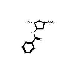 CN[C@@H]1C[C@@H](O)[C@H](SC(=O)c2ccccc2)C1